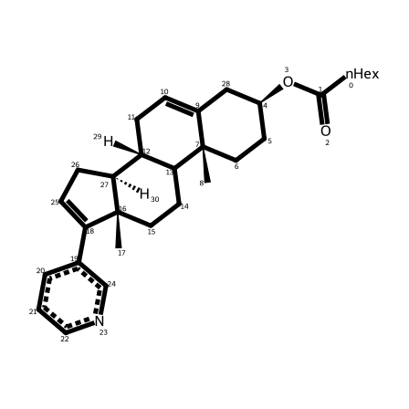 CCCCCCC(=O)O[C@H]1CC[C@@]2(C)C(=CC[C@@H]3C2CC[C@]2(C)C(c4cccnc4)=CC[C@@H]32)C1